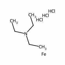 CCN(CC)CC.Cl.Cl.Cl.[Fe]